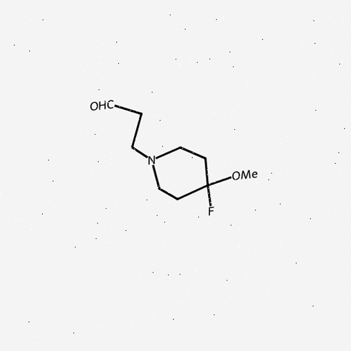 COC1(F)CCN(CCC=O)CC1